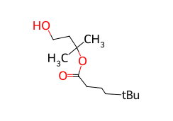 CC(C)(C)CCCC(=O)OC(C)(C)CCO